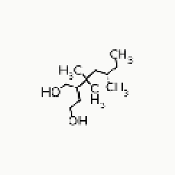 CC[C@H](C)CC(C)(C)C(CO)CCO